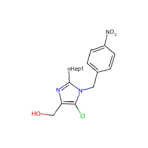 CCCCCCCc1nc(CO)c(Cl)n1Cc1ccc([N+](=O)[O-])cc1